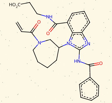 C=CC(=O)N1CCCCC(n2c(NC(=O)c3ccccc3)nc3cccc(C(=O)NCCC(=O)O)c32)C1